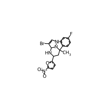 CC1(c2ccc(F)cc2)CC(c2ccc([N+](=O)[O-])o2)NC2C(Br)=CNN21